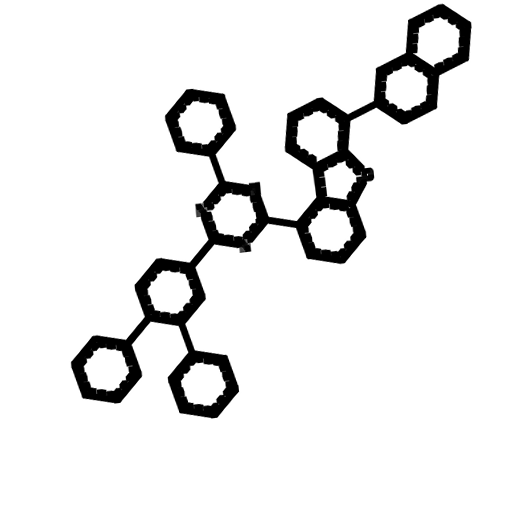 c1ccc(-c2nc(-c3ccc(-c4ccccc4)c(-c4ccccc4)c3)nc(-c3cccc4oc5c(-c6ccc7ccccc7c6)cccc5c34)n2)cc1